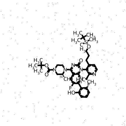 CC(C)c1nccc(CCCO[Si](C)(C)C(C)(C)C)c1-n1c(=O)nc(N2CCN(C(=O)OC(C)(C)C)C[C@@H]2C)c2cc(F)c(-c3c(O)cccc3F)nc21